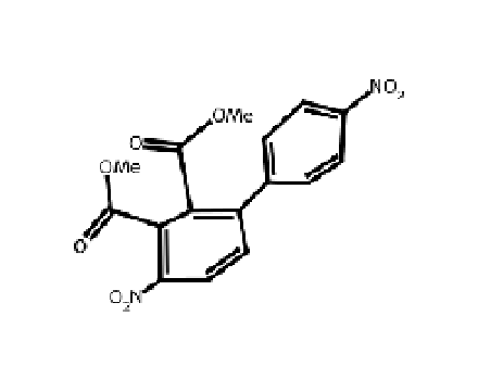 COC(=O)c1c(-c2ccc([N+](=O)[O-])cc2)ccc([N+](=O)[O-])c1C(=O)OC